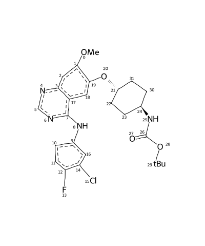 COc1cc2ncnc(Nc3ccc(F)c(Cl)c3)c2cc1O[C@H]1CC[C@H](NC(=O)OC(C)(C)C)CC1